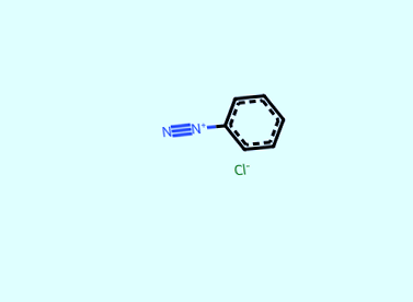 N#[N+]c1ccccc1.[Cl-]